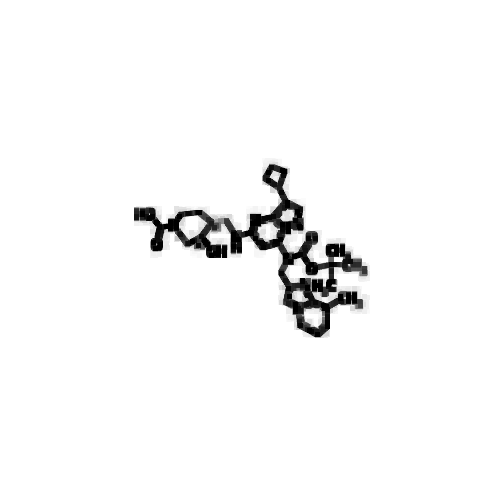 Cc1cccn2cc(CN(C(=O)OC(C)(C)C)c3cc(NC[C@H]4CCN(C(=O)O)C[C@@H]4O)nc4c(C5CCC5)cnn34)nc12